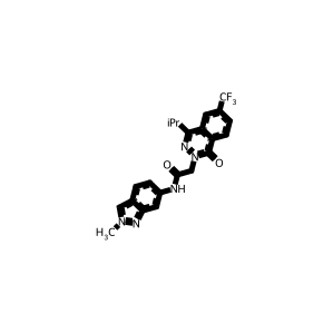 CC(C)c1nn(CC(=O)Nc2ccc3cn(C)nc3c2)c(=O)c2ccc(C(F)(F)F)cc12